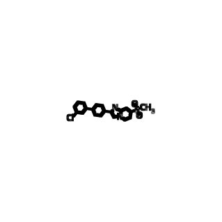 CS(=O)(=O)c1ccn2cc(-c3ccc(-c4cccc(Cl)c4)cc3)nc2c1